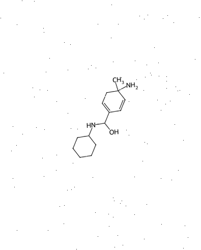 CC1(N)C=CC(C(O)NC2CCCCC2)=CC1